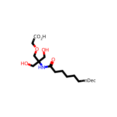 CCCCCCCCCCCCCCCC(=O)NC(CO)(CO)COCC(=O)O